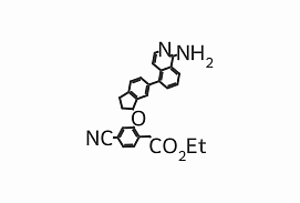 CCOC(=O)Cc1ccc(C#N)cc1O[C@@H]1CCc2ccc(-c3cccc4c(N)nccc34)cc21